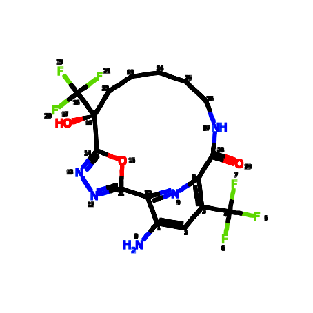 Nc1cc(C(F)(F)F)c2nc1-c1nnc(o1)[C@](O)(C(F)(F)F)CCCCCNC2=O